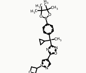 CC1(C)OB(c2ccc([C@](C)(c3noc(-c4cnn(C5COC5)c4)n3)C3CC3)cc2)OC1(C)C